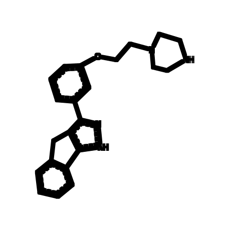 c1cc(OCCN2CCNCC2)cc(-c2n[nH]c3c2Cc2ccccc2-3)c1